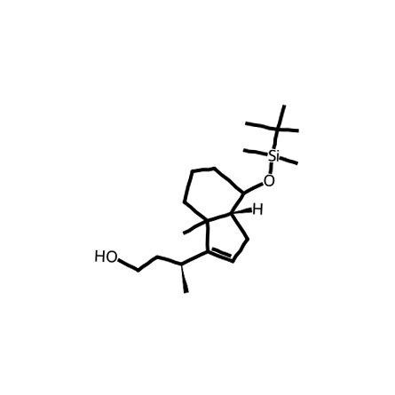 C[C@@H](CCO)C1=CC[C@H]2C(O[Si](C)(C)C(C)(C)C)CCCC12C